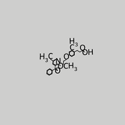 CCc1cnc(OC(C)CCOc2ccc(CCC(=O)O)c(C)c2)c(C(=O)c2ccccc2)c1